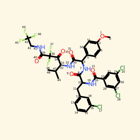 COc1ccc(C(NC(=O)C(Cc2cccc(Cl)c2)NC(=O)c2cc(Cl)cc(Cl)c2)C(=O)N[C@H](C(=O)C(F)(F)C(=O)NCC(F)(F)F)C(C)C)cc1